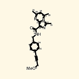 COCC#Cc1ccc(CNC(=O)c2nc(C)n3c(C)cc(C)nc23)cc1